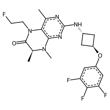 Cc1nc(N[C@H]2C[C@H](Oc3cc(F)c(F)c(F)c3)C2)nc2c1N(CCF)C(=O)[C@H](C)N2C